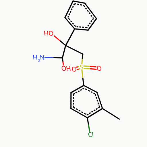 Cc1cc(S(=O)(=O)CC(O)(c2ccccc2)C(N)O)ccc1Cl